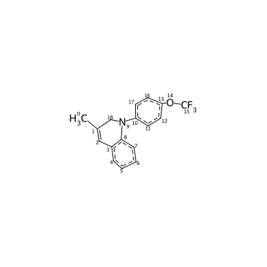 CC1=Cc2ccccc2N(c2ccc(OC(F)(F)F)cc2)C1